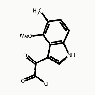 COc1c(C)ccc2[nH]cc(C(=O)C(=O)Cl)c12